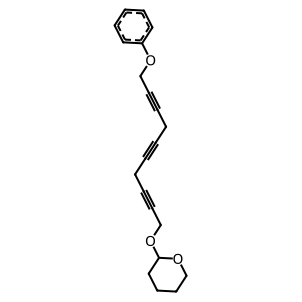 C(#CCC#CCOC1CCCCO1)CC#CCOc1ccccc1